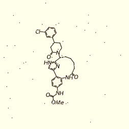 COC(=O)Nc1ccc2c(c1)NC(=O)CCCCC(N1CCC(c3cccc(Cl)c3)CC1=O)c1nc-2c[nH]1